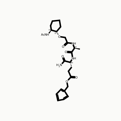 CC(=O)N[C@H]1CCCC[C@@H]1OCC(=O)N[C@@H](C)C(=O)N[C@H](CCC(=O)OCc1ccccc1)C(N)=O